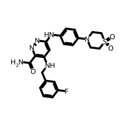 NC(=O)c1nnc(Nc2ccc(N3CCS(=O)(=O)CC3)cc2)cc1NCc1cccc(F)c1